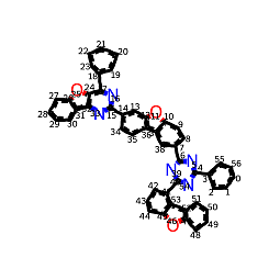 c1ccc(-c2nc(-c3ccc4oc5cc(-c6nc(-c7ccccc7)c7oc8ccccc8c7n6)ccc5c4c3)nc(-c3cccc4oc5ccccc5c34)n2)cc1